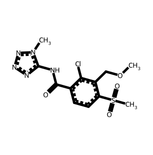 COCc1c(S(C)(=O)=O)ccc(C(=O)Nc2nnnn2C)c1Cl